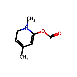 CC1=CCN(C)C(O[C]=O)=C1